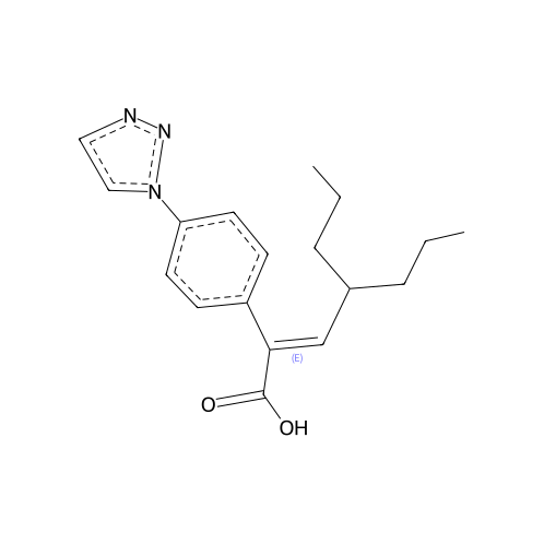 CCCC(/C=C(/C(=O)O)c1ccc(-n2ccnn2)cc1)CCC